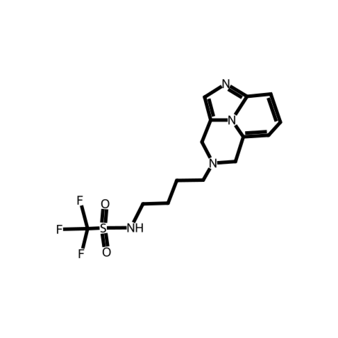 O=S(=O)(NCCCCN1Cc2cccc3ncc(n23)C1)C(F)(F)F